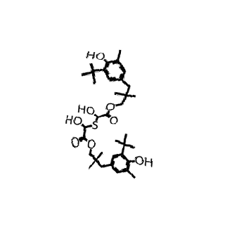 Cc1cc(CC(C)(C)COC(=O)C(O)SC(O)C(=O)OCC(C)(C)Cc2cc(C)c(O)c(C(C)(C)C)c2)cc(C(C)(C)C)c1O